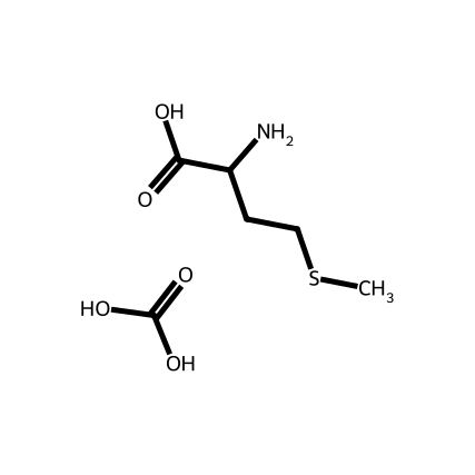 CSCCC(N)C(=O)O.O=C(O)O